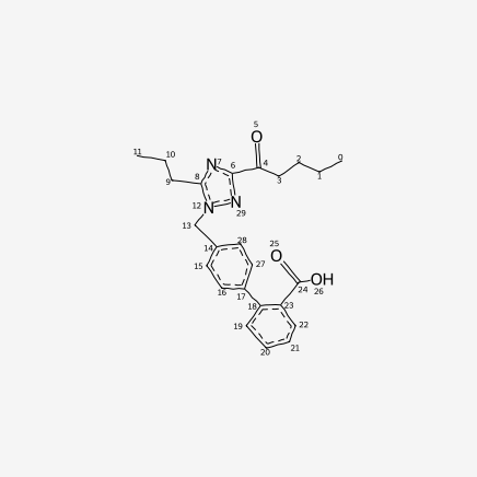 CCCCC(=O)c1nc(CCC)n(Cc2ccc(-c3ccccc3C(=O)O)cc2)n1